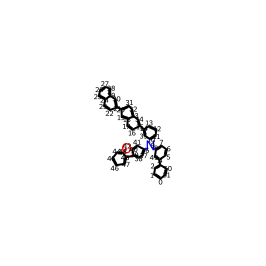 c1ccc(-c2cccc(N(c3cccc(-c4ccc5cc(-c6ccc7ccccc7c6)ccc5c4)c3)c3ccc4c(c3)oc3ccccc34)c2)cc1